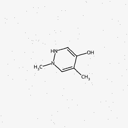 CC1=CN(C)NC=C1O